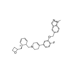 Cn1ncc2cc(COc3cc(C4=CCN(CC5C=CC=C[C@@H]5CC5CCO5)CC4)ccc3F)ccc21